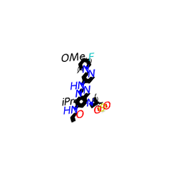 C=CC(=O)Nc1cc(N2C[C@H](CS(C)(=O)=O)[C@H]2C)c2cnc(Nc3ccnc(N4C[C@H](F)[C@H](OC)C[C@H]4C)c3)nc2c1C(C)C